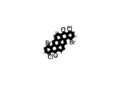 O=c1c2ccc3cc4c5c(Br)ccc(Cl)c5c(=O)c5ccc6cc(c7c(Br)ccc(Cl)c17)c2c3c6c54